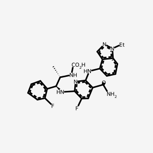 CCn1ncc2c(Nc3nc(N[C@@H](c4ccccc4F)[C@H](C)NC(=O)O)c(F)cc3C(N)=O)cccc21